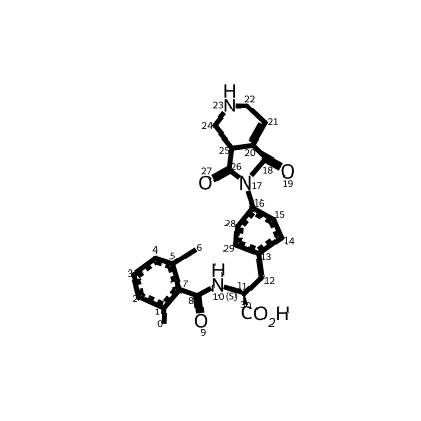 Cc1cccc(C)c1C(=O)N[C@@H](Cc1ccc(N2C(=O)C3=CCNCC3C2=O)cc1)C(=O)O